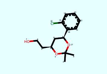 CC1(C)O[C@@H](CCO)C[C@@H](c2ccccc2Cl)O1